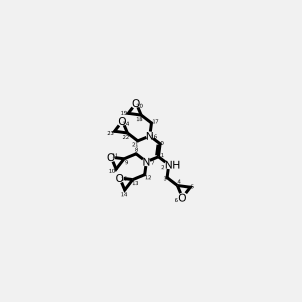 C(=C(NCC1CO1)N(CC1CO1)CC1CO1)N(CC1CO1)CC1CO1